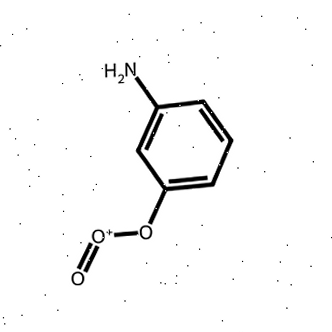 Nc1cccc(O[O+]=O)c1